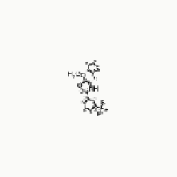 COC(=O)[C@H](Cc1cccs1)NC(=O)c1cccc(C(F)(F)F)c1